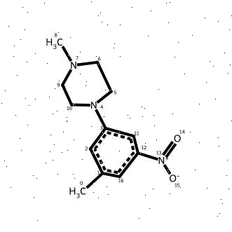 Cc1cc(N2CCN(C)CC2)cc([N+](=O)[O-])c1